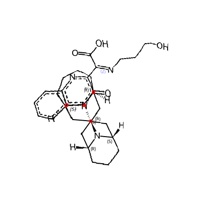 O=C(O)/C(=N\CCCO)c1nc2ccccc2n([C@H]2C[C@H]3CCC[C@@H](C2)N3[C@@H]2C[C@@H]3CCCC[C@@H](C3)C2)c1=O